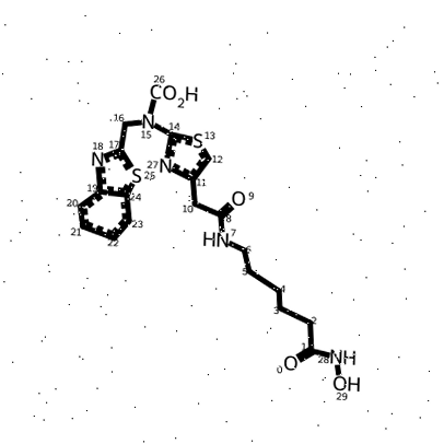 O=C(CCCCCNC(=O)Cc1csc(N(Cc2nc3ccccc3s2)C(=O)O)n1)NO